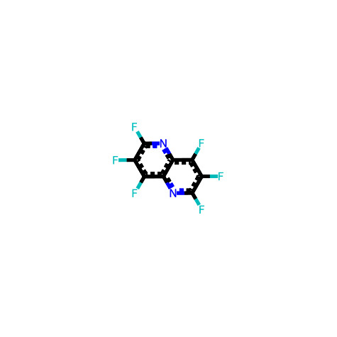 Fc1nc2c(F)c(F)c(F)nc2c(F)c1F